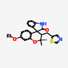 CCOc1ccc2c(c1)OC(C)(C)C(Cc1cncs1)C21C(=O)Nc2ccccc21